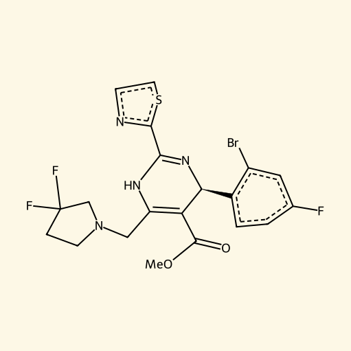 COC(=O)C1=C(CN2CCC(F)(F)C2)NC(c2nccs2)=N[C@H]1c1ccc(F)cc1Br